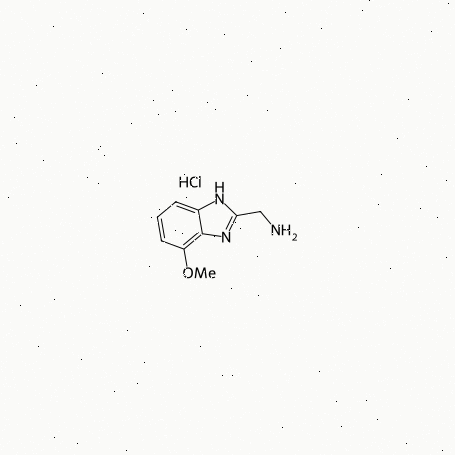 COc1cccc2[nH]c(CN)nc12.Cl